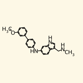 CNCc1c[nH]c2cc(Nc3ccc(-c4cccc(OC)c4)cc3)ccc12